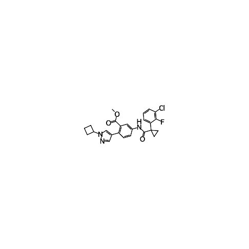 COC(=O)c1cc(NC(=O)C2(c3cccc(Cl)c3F)CC2)ccc1-c1cnn(C2CCC2)c1